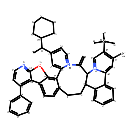 C=C1C2C(CCc3ccc4c(oc5nccc(-c6ccccc6)c54)c3-c3cc(C(C)C4CCCCC4)cc[n+]31)c1ccccc1-c1cc(C(C)C)c([Si](C)(C)C)c[n+]12